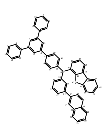 c1ccc(-c2cc(-c3ccccc3)cc(-c3ccc(N(c4cccc(-c5ccc6ccccc6c5)c4)c4cccc5c4sc4ccccc45)cc3)c2)cc1